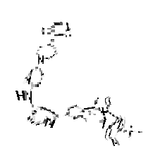 Cc1cc(-c2cc(Nc3ccc(N4CCC(C5OCCO5)CC4)cn3)ncn2)ccc1[C@@H](C)NC(=O)c1nc(C(C)(C)C)no1